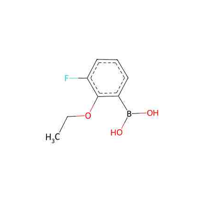 CCOc1c(F)cccc1B(O)O